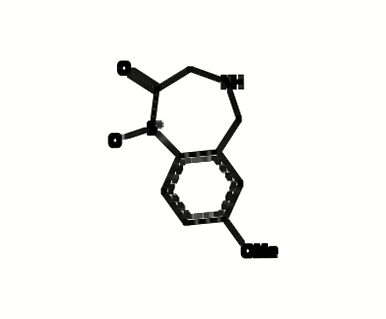 COc1ccc2c(c1)CNCC(=O)[S+]2[O-]